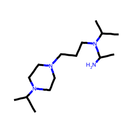 CC(C)N1CCN(CCCN(C(C)C)C(C)N)CC1